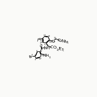 CCOC(=O)C(NC(=O)c1cc(Br)ccc1N)c1cc(F)ccc1OCOC